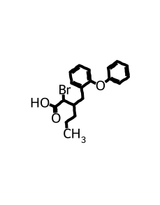 CCCC(Cc1ccccc1Oc1ccccc1)C(Br)C(=O)O